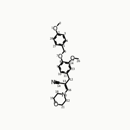 COc1ccc(COc2ccc(CC(C#N)=CN3CCOCC3)cc2OC)cc1